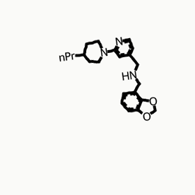 CCCC1CCN(c2cc(CNCc3cccc4c3OCO4)ccn2)CC1